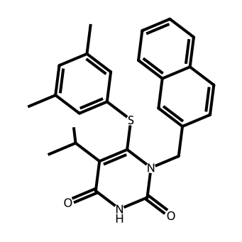 Cc1cc(C)cc(Sc2c(C(C)C)c(=O)[nH]c(=O)n2Cc2ccc3ccccc3c2)c1